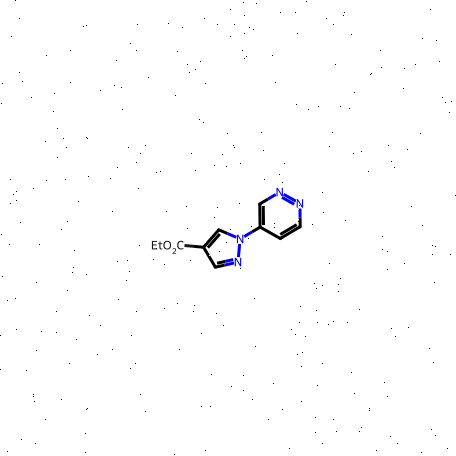 CCOC(=O)c1cnn(-c2ccnnc2)c1